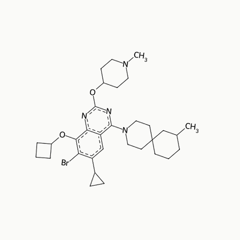 CC1CCCC2(CCN(c3nc(OC4CCN(C)CC4)nc4c(OC5CCC5)c(Br)c(C5CC5)cc34)CC2)C1